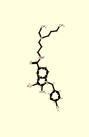 CCCCN(CC)CCCNC(=O)c1ccc2c(c1)c(C)c(C)n2Cc1ccc(Cl)cc1